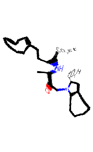 CCOC(=O)C(CCc1ccccc1)NC(C)C(=O)N1C2CCCCC2C[C@H]1C(=O)O